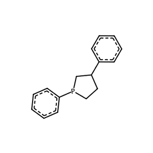 c1ccc(C2CCP(c3ccccc3)C2)cc1